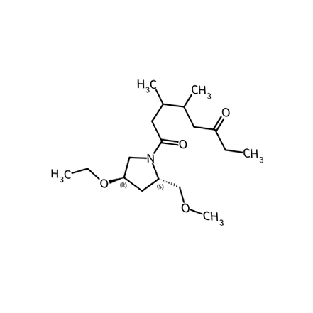 CCO[C@@H]1C[C@@H](COC)N(C(=O)CC(C)C(C)CC(=O)CC)C1